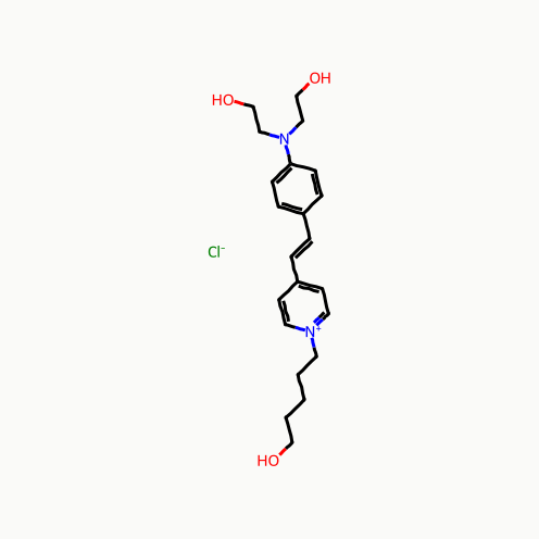 OCCCCC[n+]1ccc(/C=C/c2ccc(N(CCO)CCO)cc2)cc1.[Cl-]